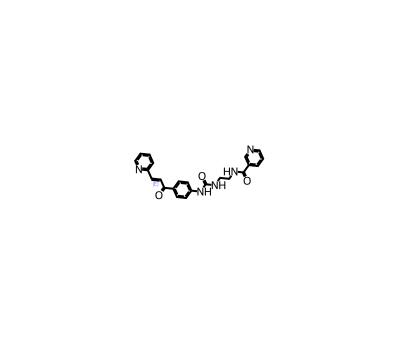 O=C(NCCNC(=O)c1cccnc1)Nc1ccc(C(=O)/C=C/c2ccccn2)cc1